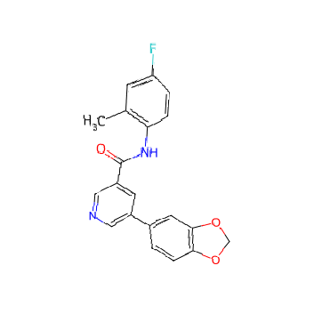 Cc1cc(F)ccc1NC(=O)c1cncc(-c2ccc3c(c2)OCO3)c1